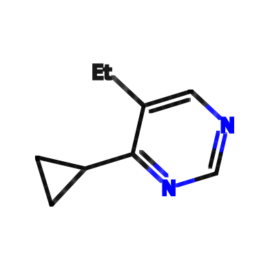 CCc1cncnc1C1CC1